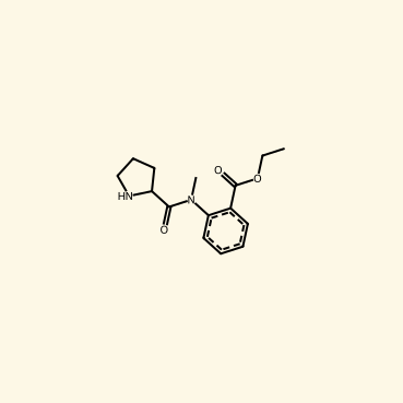 CCOC(=O)c1ccccc1N(C)C(=O)C1CCCN1